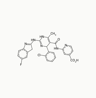 CC1=C(C(=O)Nc2cc(C(=O)O)ccn2)C(c2ccccc2Cl)N=C(NC2=Nc3ccc(F)cc3C2)N1